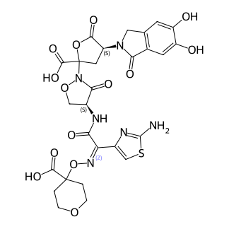 Nc1nc(/C(=N/OC2(C(=O)O)CCOCC2)C(=O)N[C@H]2CON(C3(C(=O)O)C[C@H](N4Cc5cc(O)c(O)cc5C4=O)C(=O)O3)C2=O)cs1